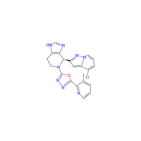 Cc1cccnc1-c1nnc(N2CCc3[nH]cnc3[C@H]2c2cc3c(Cl)cccn3n2)o1